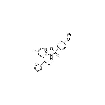 Cc1cnc(NS(=O)(=O)c2ccc(OC(C)C)cc2)c(C(=O)c2cccs2)c1